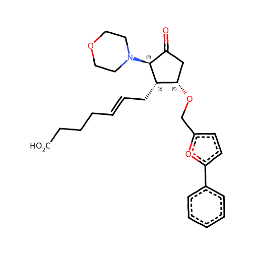 O=C(O)CCCC=CC[C@H]1[C@@H](OCc2ccc(-c3ccccc3)o2)CC(=O)[C@@H]1N1CCOCC1